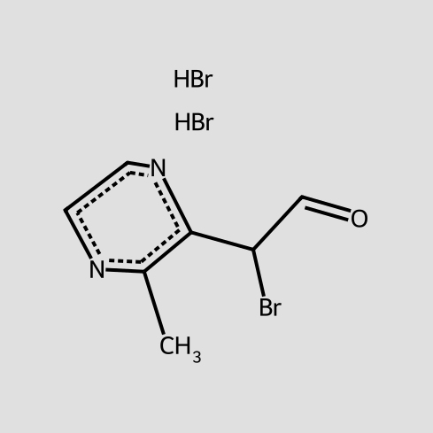 Br.Br.Cc1nccnc1C(Br)C=O